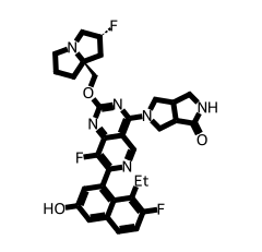 CCc1c(F)ccc2cc(O)cc(-c3ncc4c(N5CC6CNC(=O)C6C5)nc(OC[C@@]56CCCN5C[C@H](F)C6)nc4c3F)c12